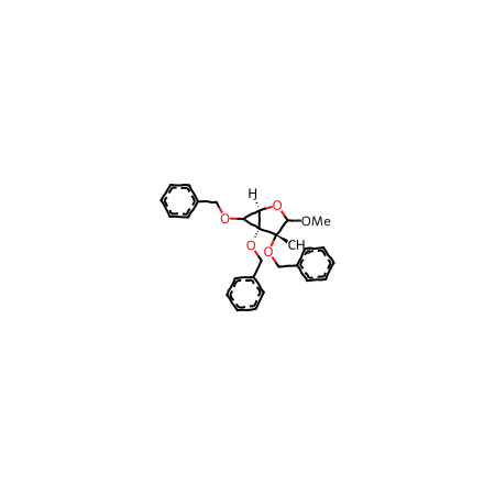 COC1O[C@@H]2C(OCc3ccccc3)[C@]2(OCc2ccccc2)[C@@]1(C)OCc1ccccc1